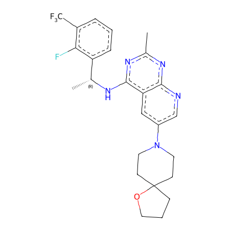 Cc1nc(N[C@H](C)c2cccc(C(F)(F)F)c2F)c2cc(N3CCC4(CCCO4)CC3)cnc2n1